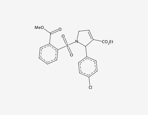 CCOC(=O)C1=CCN(S(=O)(=O)c2ccccc2C(=O)OC)C1c1ccc(Cl)cc1